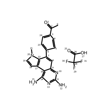 CC(=O)c1ccc(-c2cc3nc(N)nc(N)c3c3ccn(C)c23)cc1.O=C(O)C(F)(F)F